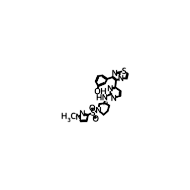 Cn1ccc(S(=O)(=O)N2CCC[C@@H](Nc3nccc(-c4c(-c5cccc(O)c5)nc5sccn45)n3)C2)n1